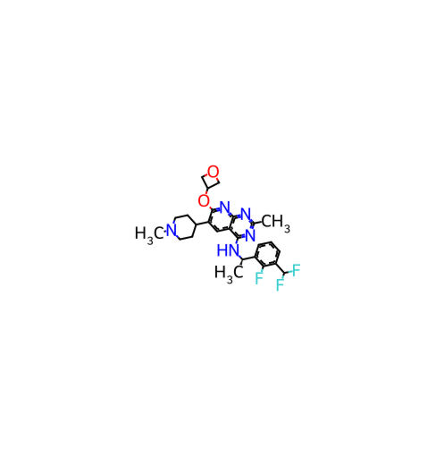 Cc1nc(N[C@H](C)c2cccc(C(F)F)c2F)c2cc(C3CCN(C)CC3)c(OC3COC3)nc2n1